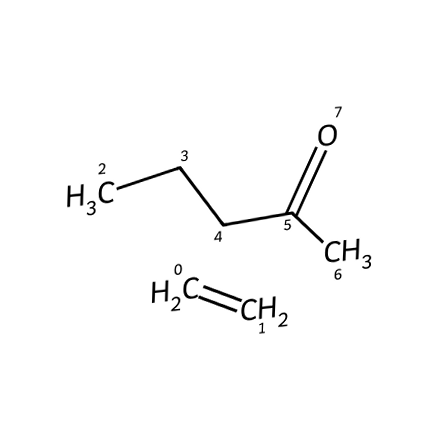 C=C.CCCC(C)=O